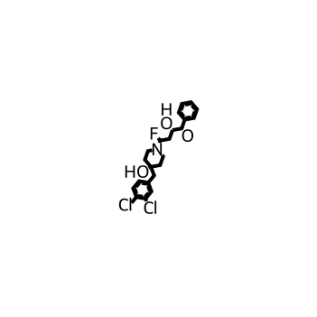 O=C(c1ccccc1)C(O)CC(F)N1CCC(O)(Cc2ccc(Cl)c(Cl)c2)CC1